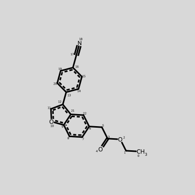 CCOC(=O)Cc1ccc2occ(-c3ccc(C#N)cc3)c2c1